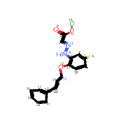 O=C(C=NNc1cc(F)ccc1OCC=Cc1ccccc1)OCl